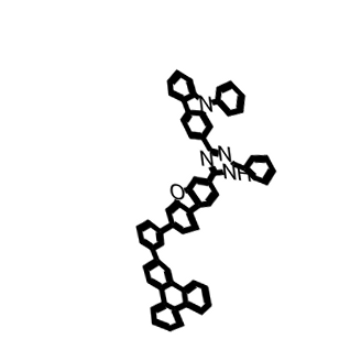 c1ccc(C2N=C(c3ccc4c5ccccc5n(-c5ccccc5)c4c3)N=C(c3ccc4c(c3)oc3cc(-c5cccc(-c6ccc7c8ccccc8c8ccccc8c7c6)c5)ccc34)N2)cc1